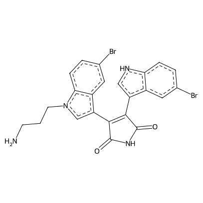 NCCCn1cc(C2=C(c3c[nH]c4ccc(Br)cc34)C(=O)NC2=O)c2cc(Br)ccc21